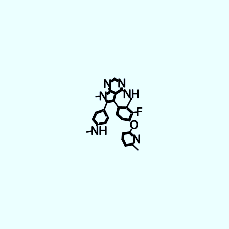 CNc1ccc(-c2c3c4c(ncnc4n2C)NCc2c-3ccc(Oc3cccc(C)n3)c2F)cc1